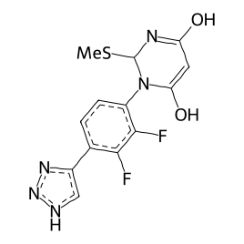 CSC1N=C(O)C=C(O)N1c1ccc(-c2c[nH]nn2)c(F)c1F